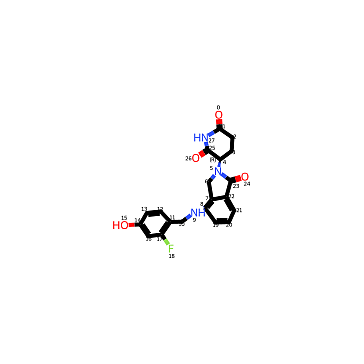 O=C1CC[C@@H](N2Cc3c(NCc4ccc(O)cc4F)cccc3C2=O)C(=O)N1